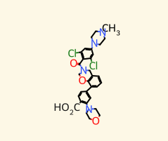 CN1CCN(c2cc(Cl)c(C(=O)N3COc4c(cccc4-c4ccc(C(=O)O)c(N5CCOCC5)c4)C3)c(Cl)c2)CC1